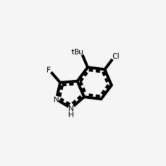 CC(C)(C)c1c(Cl)ccc2[nH]nc(F)c12